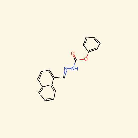 O=C(NN=Cc1cccc2ccccc12)Oc1ccccc1